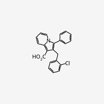 O=C(O)c1c(Cc2ccccc2Cl)c(-c2ccccc2)n2ccccc12